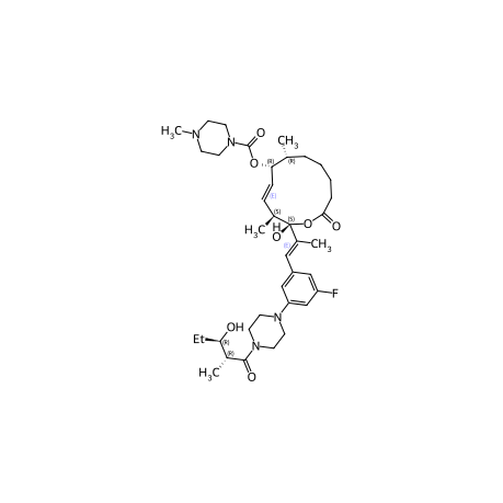 CC[C@@H](O)[C@@H](C)C(=O)N1CCN(c2cc(F)cc(/C=C(\C)[C@@]3(O)OC(=O)CCCC[C@@H](C)[C@@H](OC(=O)N4CCN(C)CC4)/C=C/[C@@H]3C)c2)CC1